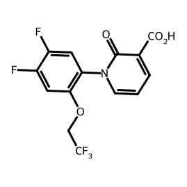 O=C(O)c1cccn(-c2cc(F)c(F)cc2OCC(F)(F)F)c1=O